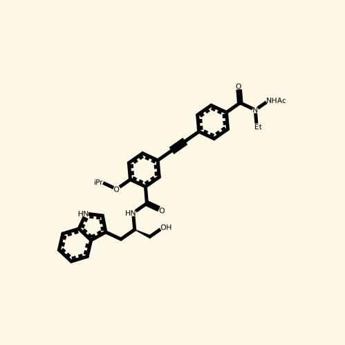 CCN(NC(C)=O)C(=O)c1ccc(C#Cc2ccc(OC(C)C)c(C(=O)N[C@@H](CO)Cc3c[nH]c4ccccc34)c2)cc1